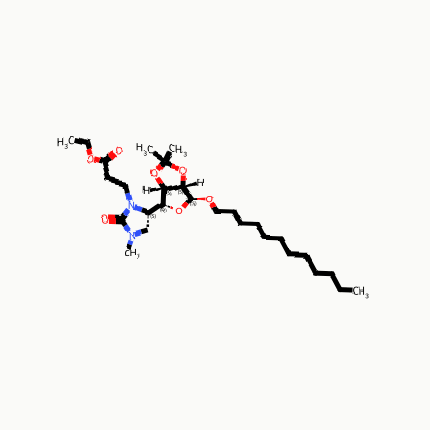 CCCCCCCCCCCCO[C@H]1O[C@H]([C@@H]2CN(C)C(=O)N2CCC(=O)OCC)[C@@H]2OC(C)(C)O[C@H]12